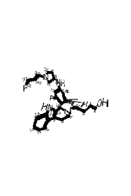 C=C(CCCO)N1CCc2c([nH]c3ccccc23)[C@H]1c1c(F)cc(N[C@H]2CCN(CCCF)C2)cc1F